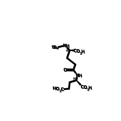 CC(C)(C)N[C@H](CCC(=O)N[C@H](CCC(=O)O)C(=O)O)C(=O)O